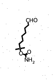 CC(C)(CCCCCCC=O)OC(N)=O